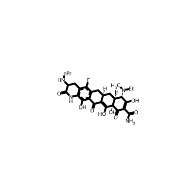 CCCNC1Cc2c(F)c3c(c(O)c2NC1=O)C(=O)C1=C(O)[C@]2(O)C(=O)C(C(N)=O)=C(O)[C@@H](N(C)CC)[C@@H]2C[C@@H]1C3